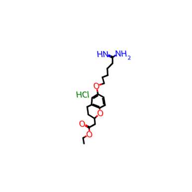 CCOC(=O)CC1CCc2cc(OCCCCCC(=N)N)ccc2O1.Cl